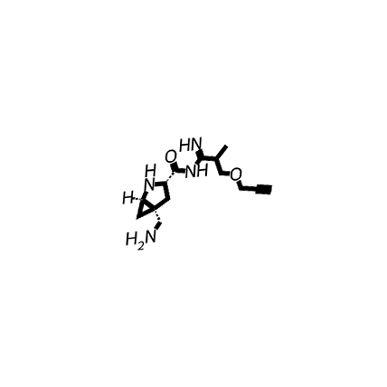 C#CCOCC(C)C(=N)NC(=O)[C@@H]1C[C@@]2(CN)C[C@H]2N1